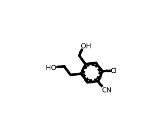 N#Cc1cc(CCO)c(CO)cc1Cl